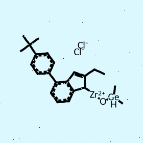 CCC1=Cc2c(-c3ccc(C(C)(C)C)cc3)cccc2[CH]1[Zr+2][O][GeH]([CH3])[CH3].[Cl-].[Cl-]